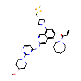 C=CC(=O)N1CCCCC[C@H]1c1ccc(N2C[C@H](CS(C)(=O)=O)[C@H]2C)c2cnc(Nc3ccnc(N4CC[C@H](OC)[C@H](F)C4)n3)cc12